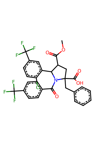 COC(=O)C1CC(Cc2ccccc2)(C(=O)O)N(C(=O)c2ccc(C(F)(F)F)cc2)C1c1cc(C(F)(F)F)ccc1Cl